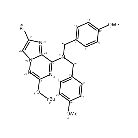 CCCCOc1nc(N(Cc2ccc(OC)cc2)Cc2ccc(OC)cc2)c2nc(Br)cn2n1